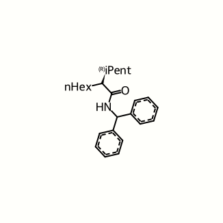 CCCCCCC(C(=O)NC(c1ccccc1)c1ccccc1)[C@H](C)CCC